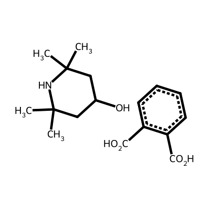 CC1(C)CC(O)CC(C)(C)N1.O=C(O)c1ccccc1C(=O)O